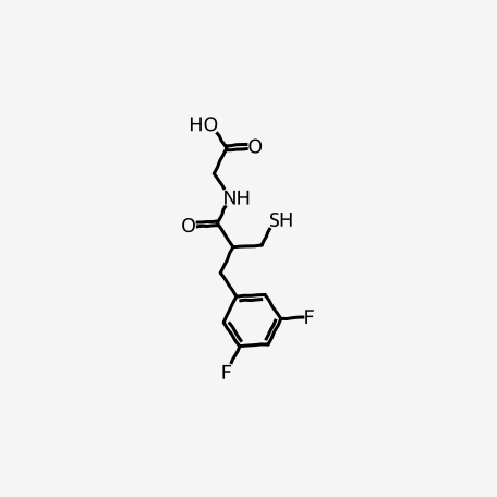 O=C(O)CNC(=O)C(CS)Cc1cc(F)cc(F)c1